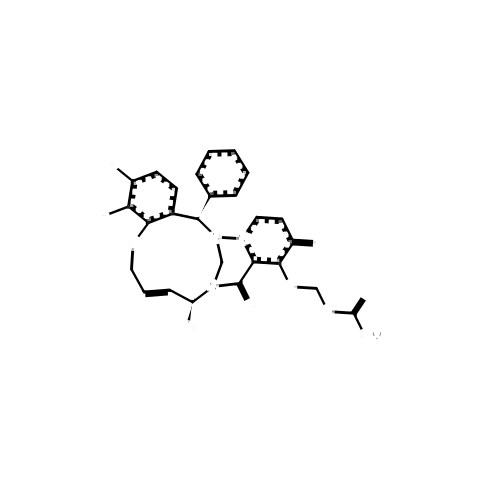 CC[C@H]1/C=C/COc2c(ccc(F)c2F)[C@@H](c2ccccc2)N2CN1C(=O)c1c(OCOC(=O)OC)c(=O)ccn12